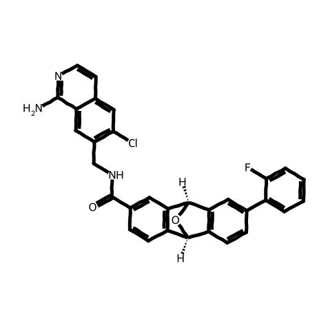 Nc1nccc2cc(Cl)c(CNC(=O)c3ccc4c(c3)[C@@H]3O[C@H]4c4ccc(-c5ccccc5F)cc43)cc12